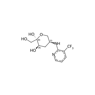 OC[C@@]1(O)OC[C@@H](Nc2ncccc2C(F)(F)F)C[C@H]1O